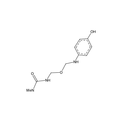 CNC(=O)NCOCNc1ccc(O)cc1